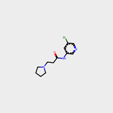 O=C(CCN1CCCC1)Nc1cncc(Br)c1